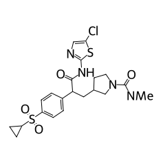 CNC(=O)N1CCC(CC(C(=O)Nc2ncc(Cl)s2)c2ccc(S(=O)(=O)C3CC3)cc2)C1